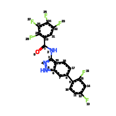 O=C(Nc1n[nH]c2cc(-c3ccc(F)cc3F)ccc12)c1cc(F)c(F)c(F)c1F